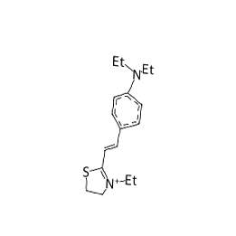 CCN(CC)c1ccc(/C=C/C2=[N+](CC)CCS2)cc1